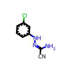 N#CC(N)=NNc1cccc(Cl)c1